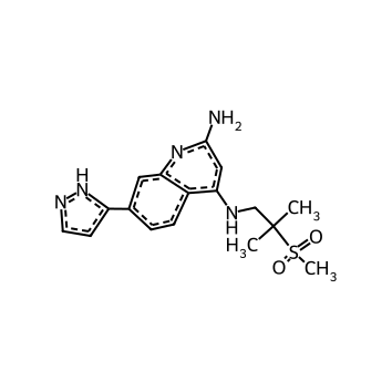 CC(C)(CNc1cc(N)nc2cc(-c3ccn[nH]3)ccc12)S(C)(=O)=O